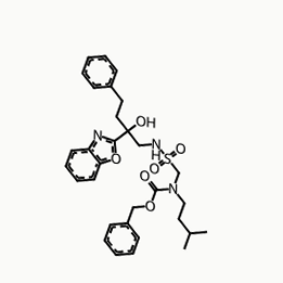 CC(C)CCN(CS(=O)(=O)NCC(O)(CCc1ccccc1)c1nc2ccccc2o1)C(=O)OCc1ccccc1